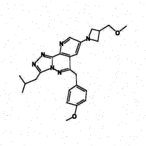 COCC1CN(c2cnc3c(c2)c(Cc2ccc(OC)cc2)nn2c(CC(C)C)nnc32)C1